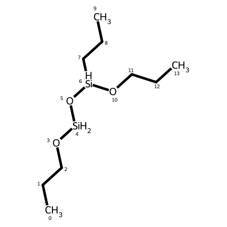 CCCO[SiH2]O[SiH](CCC)OCCC